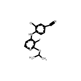 CC(C)Oc1nccc(Nc2ccc(C#N)cc2Cl)c1F